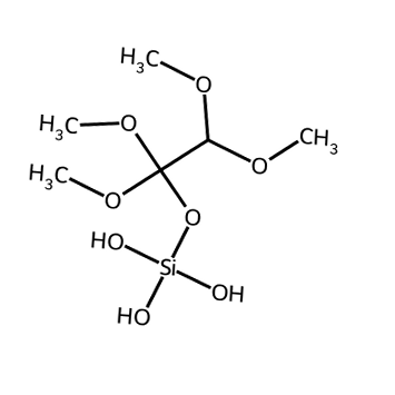 COC(OC)C(OC)(OC)O[Si](O)(O)O